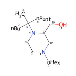 CCCCCCN1CCN(C(C)(CCCC)CCCCC)C(CO)C1